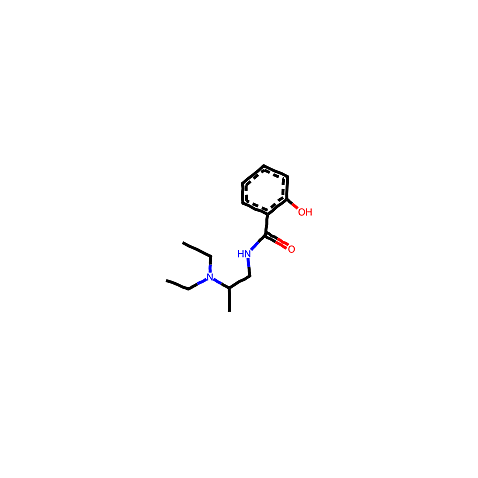 CCN(CC)C(C)CNC(=O)c1ccccc1O